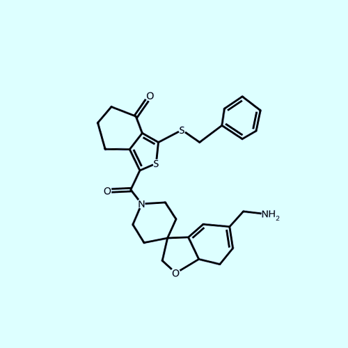 NCC1=CCC2OCC3(CCN(C(=O)c4sc(SCc5ccccc5)c5c4CCCC5=O)CC3)C2=C1